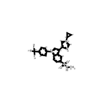 CNS(=O)(=O)c1ccc2c(c1)c(-c1cn(C3CC3)cn1)cn2-c1ccc(C(F)(F)F)cc1